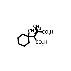 C=C(C(=O)O)C(C(=O)O)C1(C)CCCCC1